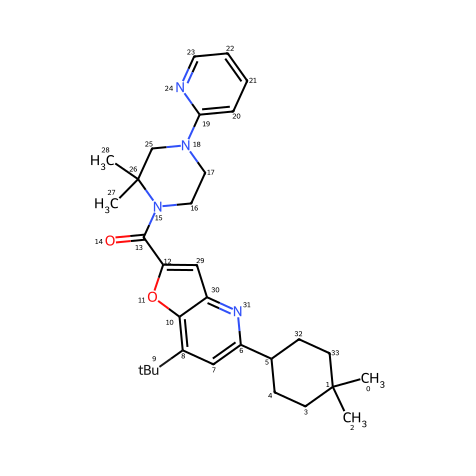 CC1(C)CCC(c2cc(C(C)(C)C)c3oc(C(=O)N4CCN(c5ccccn5)CC4(C)C)cc3n2)CC1